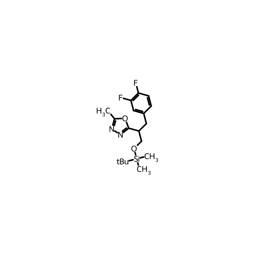 Cc1nnc(C(CO[Si](C)(C)C(C)(C)C)Cc2ccc(F)c(F)c2)o1